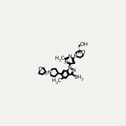 Bc1nn(-c2cc(N3CCO[C@@H](CO)C3)nc(C)n2)c2cc(C3CCN([C@@H]4CCOC4)CC3)c(C)cc12